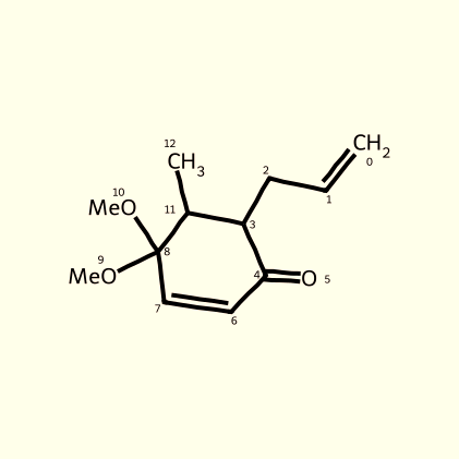 C=CCC1C(=O)C=CC(OC)(OC)C1C